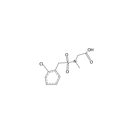 CN(CC(=O)O)S(=O)(=O)Cc1ccccc1Cl